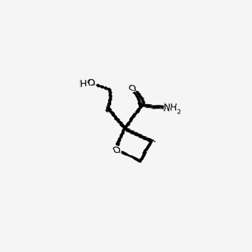 NC(=O)C1(CCO)[CH]CO1